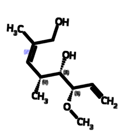 C=C[C@H](OC)[C@@H](O)[C@H](C)/C=C(/C)CO